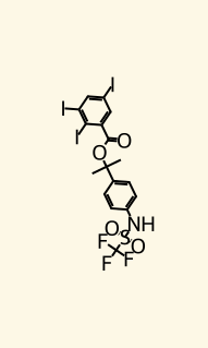 CC(C)(OC(=O)c1cc(I)cc(I)c1I)c1ccc(NS(=O)(=O)C(F)(F)F)cc1